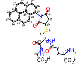 N[C@@H](CCC(=O)N[C@@H](CSC1CC(=O)N(c2ccc3ccc4cccc5ccc2c3c45)C1=O)C(=O)NCC(=O)O)C(=O)O